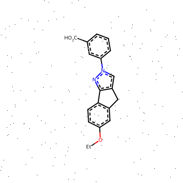 CCOc1ccc2c(c1)Cc1cn(-c3cccc(C(=O)O)c3)nc1-2